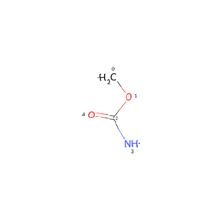 [CH2]OC([NH])=O